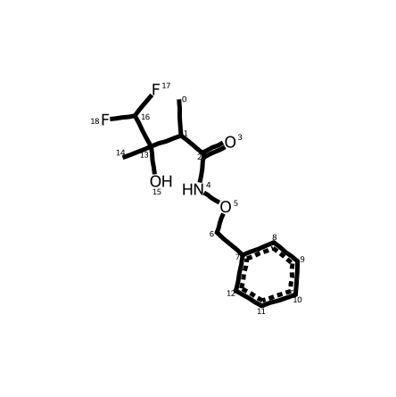 CC(C(=O)NOCc1ccccc1)C(C)(O)C(F)F